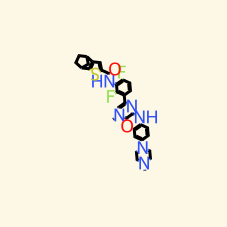 CN1CCN(c2ccc(Nc3nc(-c4ccc(F)c(NC(=O)c5cc6c(s5)C5CCC6C5)c4F)cn(C)c3=O)cc2)CC1